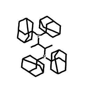 CC(C(C)P(C12CC3CC(CC(C3)C1)C2)C12CC3CC(CC(C3)C1)C2)P(C12CC3CC(CC(C3)C1)C2)C12CC3CC(CC(C3)C1)C2